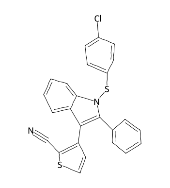 N#Cc1sccc1-c1c(-c2ccccc2)n(Sc2ccc(Cl)cc2)c2ccccc12